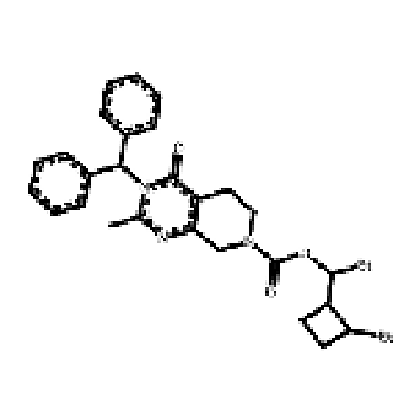 CCC1CCC1C(CC)OC(=O)N1CCc2c(nc(C)n(C(c3ccccc3)c3ccccc3)c2=O)C1